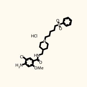 COc1cc(N)c(Cl)cc1C(=O)NCC1CCN(CCCCCS(=O)(=O)c2ccccc2)CC1.Cl